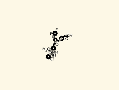 COc1cc(CC(=O)N2C[C@@H](Oc3ccc(F)cc3F)CC2CN2CCC(CC(=O)O)CC2)ccc1NC(=O)Nc1ccccc1Cl